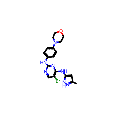 Cc1cc(Nc2nc(Nc3ccc(N4CCOCC4)cc3)ncc2Br)[nH]n1